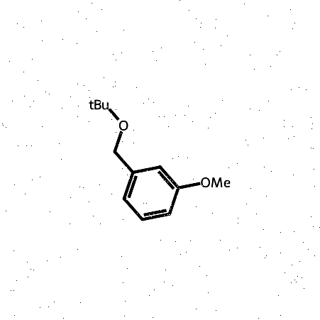 COc1cccc(COC(C)(C)C)c1